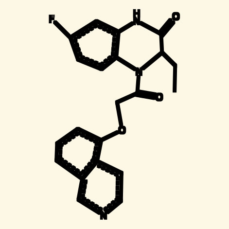 CCC1C(=O)Nc2cc(F)ccc2N1C(=O)COc1cccc2cnccc12